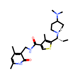 CC[C@H](c1scc(C(=O)NCc2c(C)cc(C)[nH]c2=O)c1C)N1CCC(N(C)C)CC1